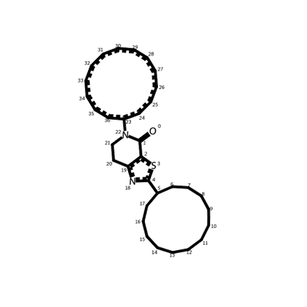 O=C1c2sc(C3CCCCCCCCCCCC3)nc2CCN1c1ccccccccccccc1